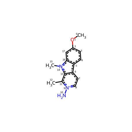 COc1ccc2c3cc[n+](N)c(C)c3n(C)c2c1